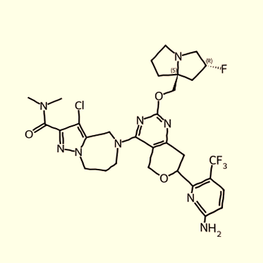 CN(C)C(=O)c1nn2c(c1Cl)CN(c1nc(OC[C@@]34CCCN3C[C@H](F)C4)nc3c1COC(c1nc(N)ccc1C(F)(F)F)C3)CCC2